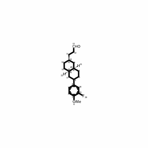 COc1ccc(C2CC[C@@H]3C[C@H](CCC=O)CC[C@@H]3C2)cc1F